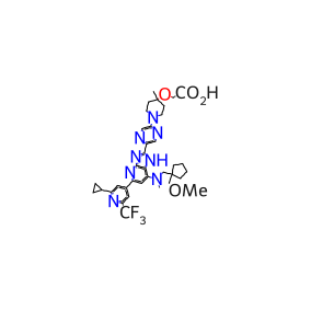 COCC1(CN(C)c2cc(-c3cc(C4CC4)nc(C(F)(F)F)c3)nc3nc(-c4cnc(N5CCC(C)(OCC(=O)O)CC5)cn4)[nH]c23)CCCC1